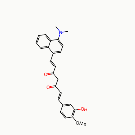 COc1ccc(C=CC(=O)CC(=O)C=Cc2ccc(N(C)C)c3ccccc23)cc1O